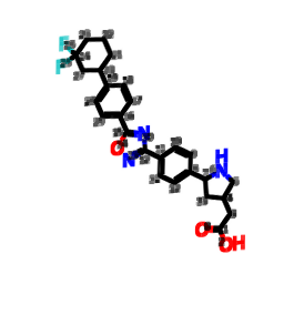 O=C(O)CC1CNC(c2ccc(-c3noc(-c4ccc(C5CCCC(F)(F)C5)cc4)n3)cc2)C1